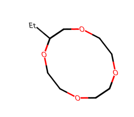 CCC1COCCOCCOCCO1